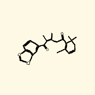 CC1=C(C(=O)CC(C)C(C)C(=O)c2ccc3c(c2)OCO3)C(C)(C)CC=C1